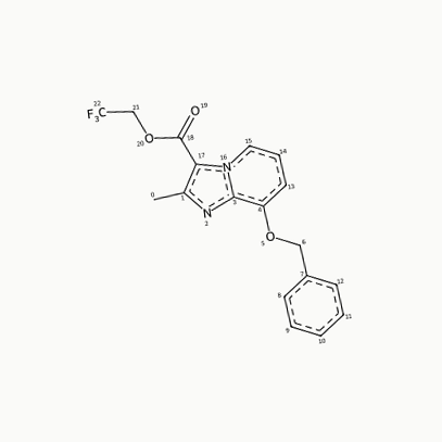 Cc1nc2c(OCc3ccccc3)cccn2c1C(=O)OCC(F)(F)F